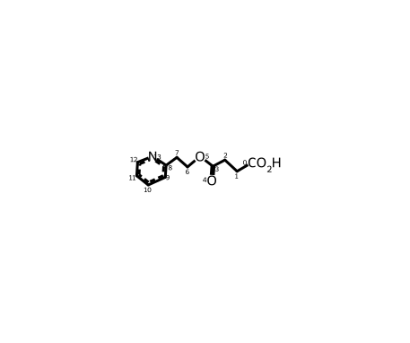 O=C(O)CCC(=O)OCCc1ccccn1